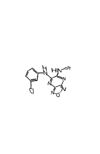 CCCNc1nc2nonc2nc1Nc1cccc(Cl)c1